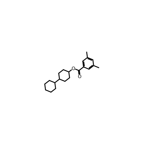 Cc1cc(C)cc(C(=O)OC2CCC(C3CCCCC3)CC2)c1